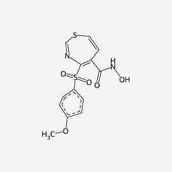 COc1ccc(S(=O)(=O)C2=C(C(=O)NO)C=CSC=N2)cc1